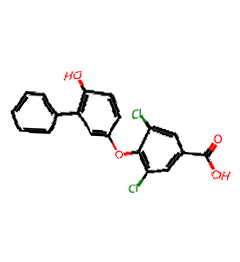 O=C(O)c1cc(Cl)c(Oc2ccc(O)c(-c3ccccc3)c2)c(Cl)c1